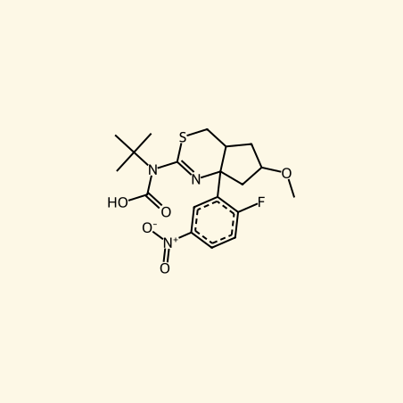 COC1CC2CSC(N(C(=O)O)C(C)(C)C)=NC2(c2cc([N+](=O)[O-])ccc2F)C1